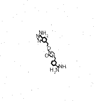 N=C(N)c1cccc(CN2CCN(COCCc3ccc4c(N)ncnc4c3)C(=O)C2)c1